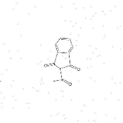 CC(=O)C1C(=O)c2ccccc2C1=O